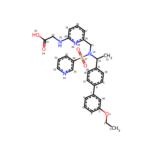 CCOc1cccc(-c2ccc(C(C)N(Cc3cccc(NCC(=O)O)n3)S(=O)(=O)c3cccnc3)cc2)c1